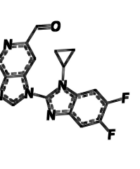 O=Cc1cc2c(cn1)ncn2-c1nc2cc(F)c(F)cc2n1C1CC1